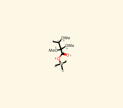 COC(C)C(OC)(OC)C(=O)O[Si](C)(C)C